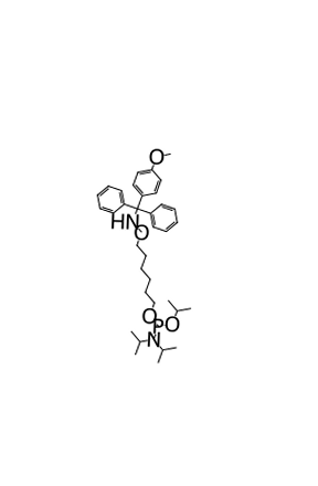 COc1ccc(C(NOCCCCCCOP(OC(C)C)N(C(C)C)C(C)C)(c2ccccc2)c2ccccc2)cc1